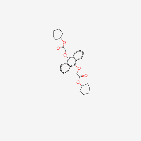 O=C(COc1c2ccccc2c(OCC(=O)OC2CCCCC2)c2ccccc12)OC1CCCCC1